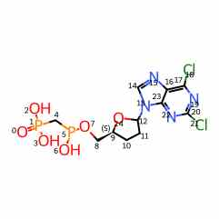 O=P(O)(O)CP(O)OC[C@@H]1CCC(n2cnc3c(Cl)nc(Cl)nc32)O1